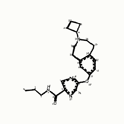 CCCNC(=O)c1cnc(Oc2ccc3c(c2)CCN(C2CCC2)CC3)cn1